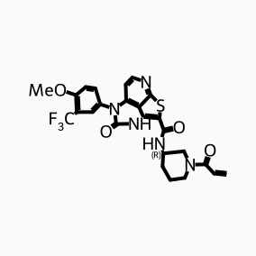 C=CC(=O)N1CCC[C@@H](NC(=O)c2sc3nccc4c3c2NC(=O)N4c2ccc(OC)c(C(F)(F)F)c2)C1